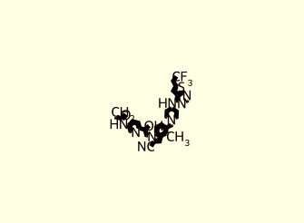 C=CC(=O)Nc1ccc(C(O)Cn2c(C#N)cc3c(C)c(CN4CCC(Nc5ncnc6sc(CC(F)(F)F)cc56)CC4)ccc32)nc1